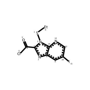 CCSn1c(C(=O)Cl)nc2cc(I)cnc21